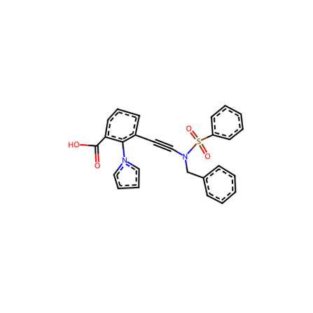 O=C(O)c1cccc(C#CN(Cc2ccccc2)S(=O)(=O)c2ccccc2)c1-n1cccc1